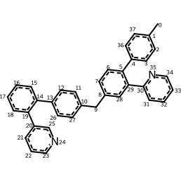 Cc1ccc(-c2ccc(Cc3ccc(-c4ccccc4-c4cccnc4)cc3)cc2-c2ccccn2)cc1